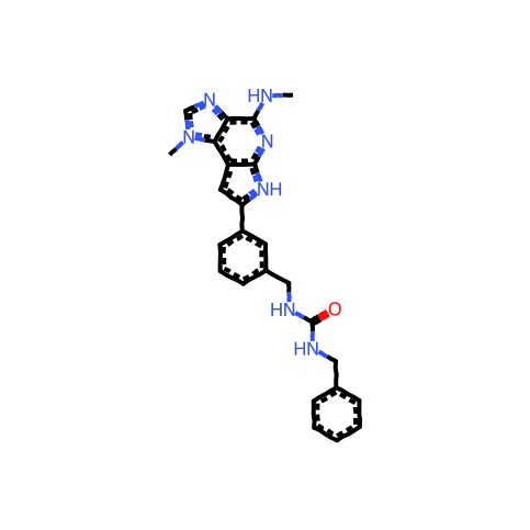 CNc1nc2[nH]c(-c3cccc(CNC(=O)NCc4ccccc4)c3)cc2c2c1ncn2C